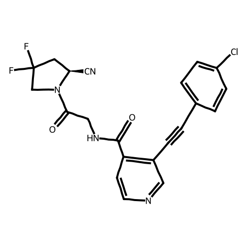 N#C[C@@H]1CC(F)(F)CN1C(=O)CNC(=O)c1ccncc1C#Cc1ccc(Cl)cc1